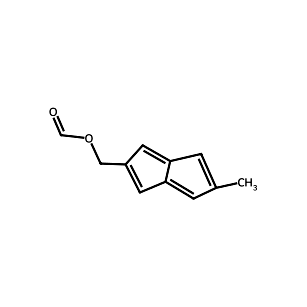 CC1=CC2=CC(COC=O)=CC2=C1